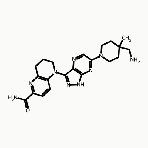 CC1(CN)CCN(c2cnc3c(N4CCCc5nc(C(N)=O)ccc54)n[nH]c3n2)CC1